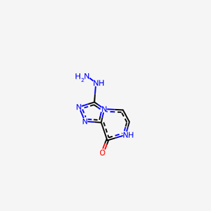 NNc1nnc2c(=O)[nH]ccn12